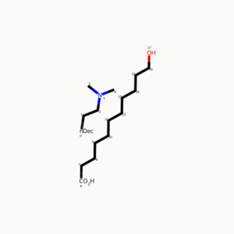 CCCCCCCCCCCCN(C)C.O=C(O)CCCCCCCCCCO